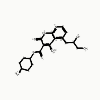 CC1CCC(NC(=O)c2c(O)c3c(CC(O)CO)ccnc3[nH]c2=O)CC1